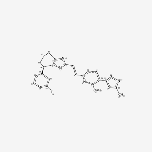 COc1nc(/C=C/c2nc3n(n2)CCC[C@@H]3c2cccc(F)c2)ccc1-n1cnc(C)c1